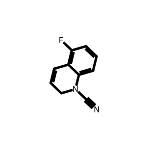 N#CN1CC=Cc2c(F)cccc21